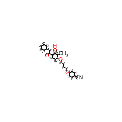 Cc1c(OCCCCOc2ccc(C#N)cc2)ccc(C(=O)Cc2ccccc2)c1O